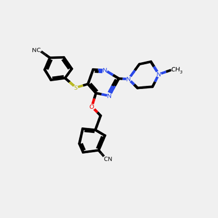 CN1CCN(c2ncc(Sc3ccc(C#N)cc3)c(OCc3cccc(C#N)c3)n2)CC1